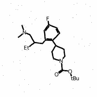 CCC(Cc1cc(F)ccc1C1CCN(C(=O)OC(C)(C)C)CC1)CN(C)C